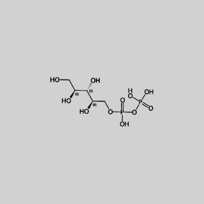 O=P(O)(O)OP(=O)(O)OC[C@@H](O)[C@@H](O)[C@@H](O)CO